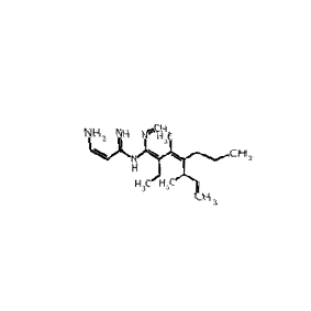 C=N/C(NC(=N)/C=C\N)=C(CC)\C(C)=C(\CCC)C(C)CC